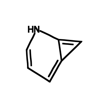 C1=CNC2=CC2=C1